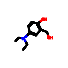 CCN(CC)c1ccc(O)c(CO)c1